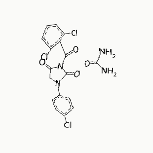 NC(N)=O.O=C1CN(c2ccc(Cl)cc2)C(=O)N1C(=O)c1c(Cl)cccc1Cl